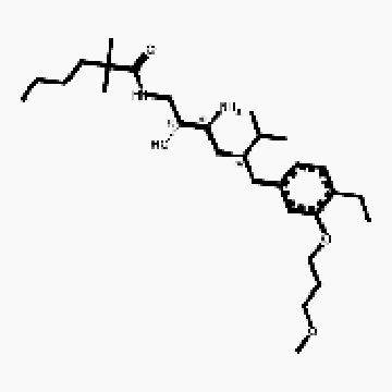 CCCCC(C)(C)C(=O)NC[C@@H](O)[C@@H](N)C[C@H](Cc1ccc(CC)c(OCCCOC)c1)C(C)C